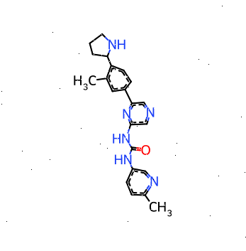 Cc1ccc(NC(=O)Nc2cncc(-c3ccc(C4CCCN4)c(C)c3)n2)cn1